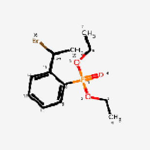 CCOP(=O)(OCC)c1ccccc1C(C)Br